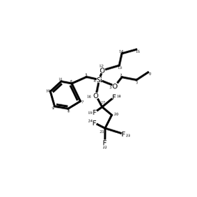 CCCO[Si](Cc1ccccc1)(OCCC)OC(F)(F)CC(F)(F)F